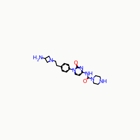 NC1CN(CCc2ccc(-n3ccc(NC(=O)N4CCNCC4)nc3=O)cc2)C1